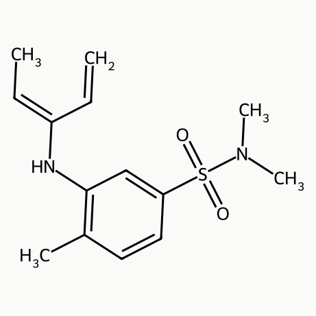 C=C/C(=C\C)Nc1cc(S(=O)(=O)N(C)C)ccc1C